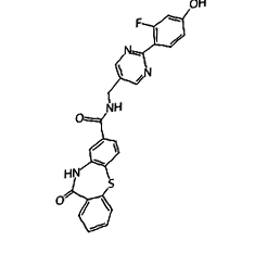 O=C(NCc1cnc(-c2ccc(O)cc2F)nc1)c1ccc2c(c1)NC(=O)c1ccccc1S2